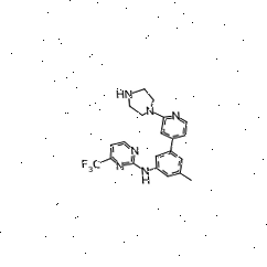 Cc1cc(Nc2nccc(C(F)(F)F)n2)cc(-c2ccnc(N3CCNCC3)c2)c1